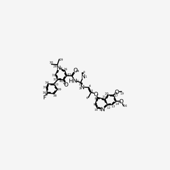 C=N/C(=N\C=C(/C)Oc1ccnc2cc(OC)c(OC)cc12)NC(=O)c1cn(C(C)C)cc(-c2ccc(F)cc2)c1=O